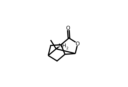 CC1(N)C2CC3C(=O)OC1C3C2